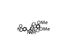 COc1cc(OC)c(Cl)c(-c2ncc3c(-c4ccc5c(c4)CCN(C)C5=O)n[nH]c3n2)c1Cl